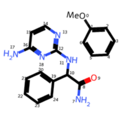 COc1ccccc1.NC(=O)C(Nc1nccc(N)n1)c1ccccc1